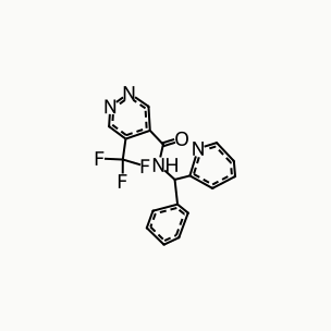 O=C(NC(c1ccccc1)c1ccccn1)c1cnncc1C(F)(F)F